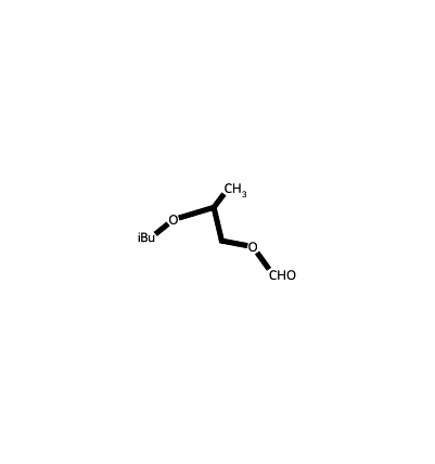 CCC(C)OC(C)COC=O